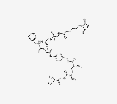 CC(C)C(=O)COC(=O)N(C)CCN(C)C(=O)OCc1ccc(NC(=O)CNC(=O)/C(=C/c2ccccc2)NC(=O)CNC(=O)CNC(=O)CCCCCN2C(=O)C=CC2=O)cc1